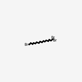 BrCCCCCCCCCCCCCCCC(Br)Br